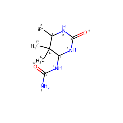 CC(C)C1NC(=O)NC(NC(N)=O)C1(C)C